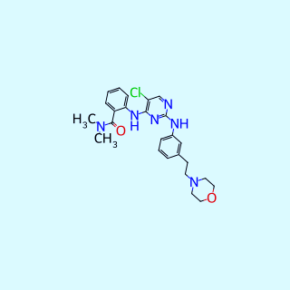 CN(C)C(=O)c1ccccc1Nc1nc(Nc2cccc(CCN3CCOCC3)c2)ncc1Cl